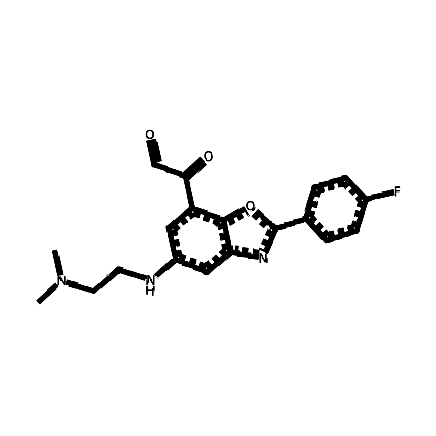 CN(C)CCNc1cc(C(=O)C=O)c2oc(-c3ccc(F)cc3)nc2c1